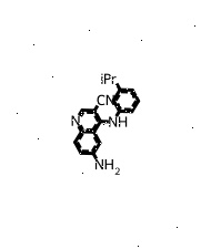 CC(C)c1cccc(Nc2c(C#N)cnc3ccc(N)cc23)c1